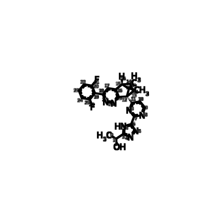 C[C@H](O)c1nnc(-c2nccc([C@]34CC[C@@H](c5cc(-c6c(F)cccc6F)nnc53)C4(C)C)n2)[nH]1